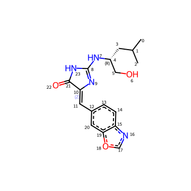 CC(C)C[C@H](CO)NC1=N/C(=C\c2ccc3ncoc3c2)C(=O)N1